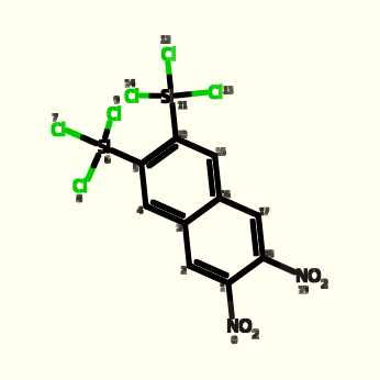 O=[N+]([O-])c1cc2cc([Si](Cl)(Cl)Cl)c([Si](Cl)(Cl)Cl)cc2cc1[N+](=O)[O-]